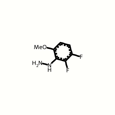 COc1ccc(F)c(F)c1NN